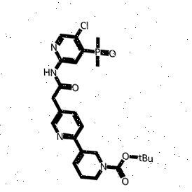 CC(C)(C)OC(=O)N1CCC=C(c2ccc(CC(=O)Nc3cc(P(C)(C)=O)c(Cl)cn3)cn2)C1